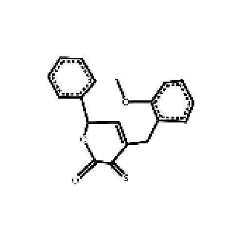 COc1ccccc1CC1=CC(c2ccccc2)OC(=O)C1=S